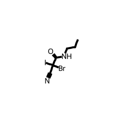 CCCNC(=O)C(Br)(I)C#N